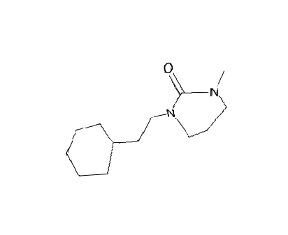 CN1CCCN(CCC2CCCCC2)C1=O